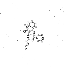 CCOCCOC1c2c(c3ccccc3n(C)c2=O)SC1C(=O)N1CCSCC1